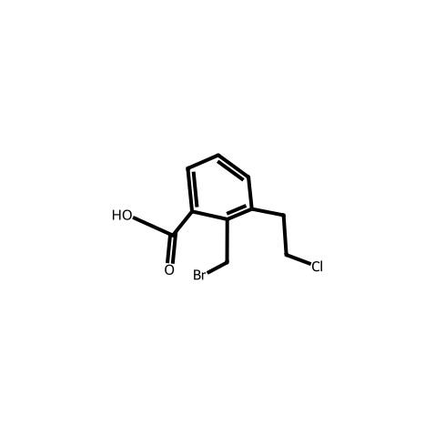 O=C(O)c1cccc(CCCl)c1CBr